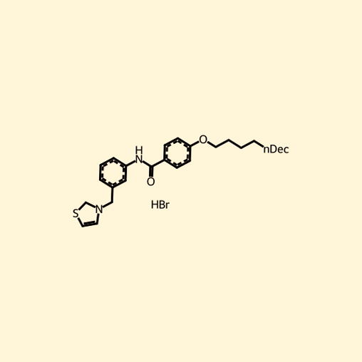 Br.CCCCCCCCCCCCCCOc1ccc(C(=O)Nc2cccc(CN3C=CSC3)c2)cc1